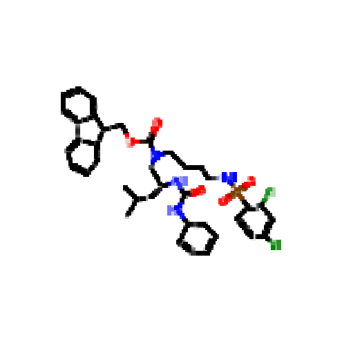 CC(C)C[C@@H](CN(CCCCNS(=O)(=O)c1ccc(Cl)cc1Cl)C(=O)OCC1c2ccccc2-c2ccccc21)NC(=O)Nc1ccccc1